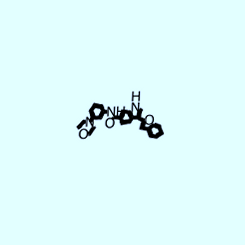 O=C(Nc1cccc(N2CCOCC2)c1)c1ccc2c(-c3cc4ccccc4o3)c[nH]c2c1